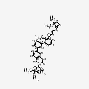 Cc1c(OCCCN2CCC2(C)C)cccc1-c1cccc(-c2ccc3c(c2)CCN(C(=O)OC(C)(C)C)C3)c1